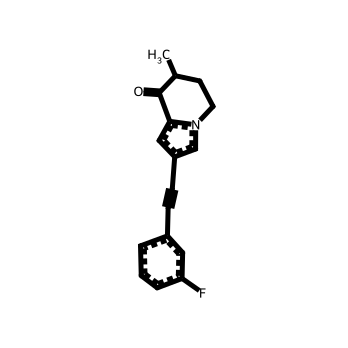 CC1CCn2cc(C#Cc3cccc(F)c3)cc2C1=O